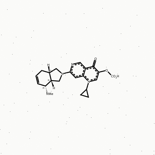 CN[C@@H]1C=CC[C@@H]2CN(c3cc4c(cn3)c(=O)c(OC(=O)O)cn4C3CC3)C[C@@H]21